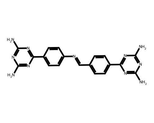 Nc1nc(N)nc(-c2ccc(/C=N/c3ccc(-c4nc(N)nc(N)n4)cc3)cc2)n1